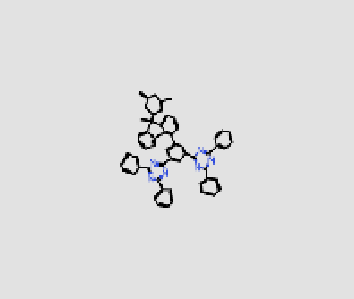 C=C1CC(C)CC(C2(C)c3ccccc3-c3c(-c4cc(-c5nc(-c6ccccc6)nc(-c6ccccc6)n5)cc(-c5nc(-c6ccccc6)nc(-c6ccccc6)n5)c4)cccc32)C1